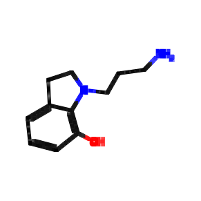 NCCCN1CCc2cccc(O)c21